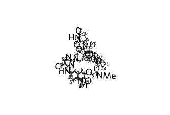 CNC(=O)COc1cc2cc(Nc3nc(N4CCC(O[C@H]5C[C@H](N6C7CCC6CN(c6ccc8c(c6)C(=O)N(C6CCC(=O)NC6=O)C8=O)C7)C5)CC4)ncc3Cl)ccc2n(C(C)C)c1=O